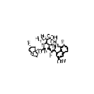 CCc1c(F)ccc2cc(O)cc(-c3ncc4c([C@@H](C)C(C)(C)O)nc(OC[C@@]56CCCN5C[C@H](F)C6)nc4c3F)c12